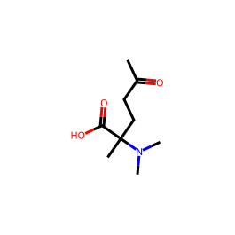 CC(=O)CCC(C)(C(=O)O)N(C)C